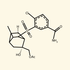 CC(=O)OC[C@@]1(O)CC2CCC1[C@H](S(=O)(=O)c1cc(C(N)=O)ccc1Cl)C2C